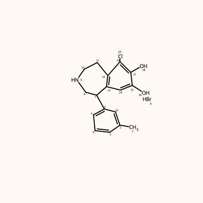 Br.Cc1cccc(C2CNCCc3c2cc(O)c(O)c3Cl)c1